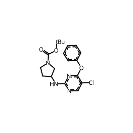 CC(C)(C)OC(=O)N1CCC(Nc2ncc(Cl)c(Oc3ccccc3)n2)C1